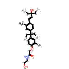 CCC(O)(C=Cc1ccc(C(CC)(CC)c2ccc(OCC(=O)NCCO)c(C)c2)cc1C)CC